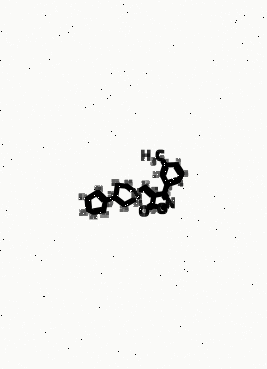 Cc1cccc(C2=NOC(=O)/C2=C\N2CCC(c3ccccc3)CC2)c1